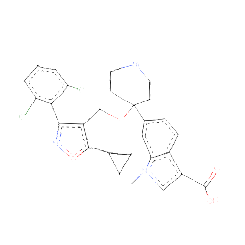 Cn1cc(C(=O)O)c2ccc(C3(OCc4c(-c5c(Cl)cccc5Cl)noc4C4CC4)CCNCC3)cc21